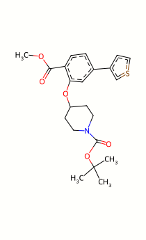 COC(=O)c1ccc(-c2ccsc2)cc1OC1CCN(C(=O)OC(C)(C)C)CC1